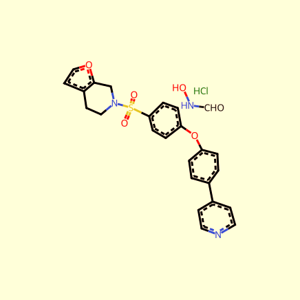 Cl.O=CNO.O=S(=O)(c1ccc(Oc2ccc(-c3ccncc3)cc2)cc1)N1CCc2ccoc2C1